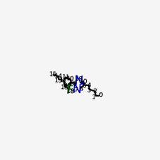 CCCCCc1cnc(-c2ccc(CCC)cc2F)nc1